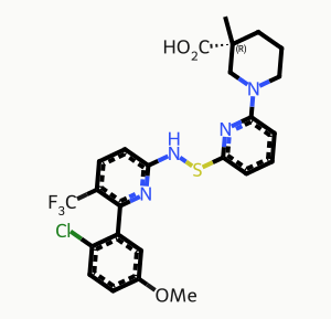 COc1ccc(Cl)c(-c2nc(NSc3cccc(N4CCC[C@@](C)(C(=O)O)C4)n3)ccc2C(F)(F)F)c1